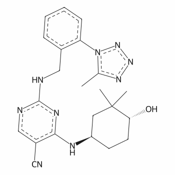 Cc1nnnn1-c1ccccc1CNc1ncc(C#N)c(N[C@@H]2CC[C@@H](O)C(C)(C)C2)n1